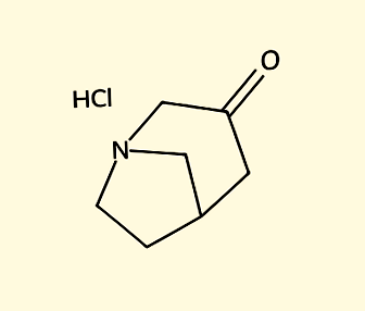 Cl.O=C1CC2CCN(C1)C2